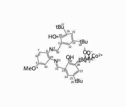 CC(=O)[O-].CC(=O)[O-].COc1ccc(N=Cc2cc(C(C)(C)C)cc(C(C)(C)C)c2O)c(N=Cc2cc(C(C)(C)C)cc(C(C)(C)C)c2O)c1.[Co+2]